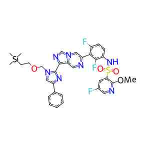 COc1ncc(F)cc1S(=O)(=O)Nc1ccc(F)c(-c2cn3cnc(-c4nc(-c5ccccc5)cn4COCC[Si](C)(C)C)c3cn2)c1F